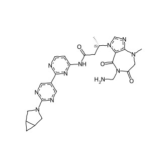 C[C@@H](CC(=O)Nc1ccnc(-c2cnc(N3CC4CC4C3)nc2)n1)n1cnc2c1C(=O)N(CN)C(=O)CN2C